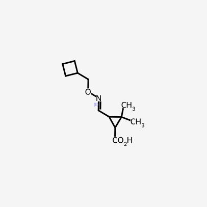 CC1(C)C(/C=N/OCC2CCC2)C1C(=O)O